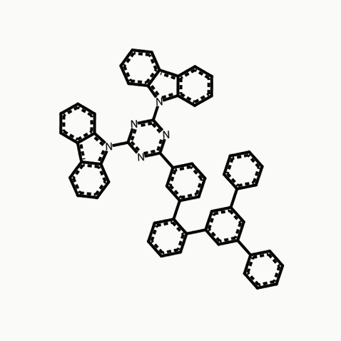 c1ccc(-c2cc(-c3ccccc3)cc(-c3ccccc3-c3cccc(-c4nc(-n5c6ccccc6c6ccccc65)nc(-n5c6ccccc6c6ccccc65)n4)c3)c2)cc1